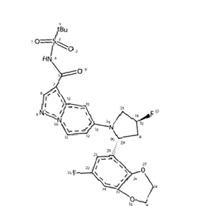 CC(C)(C)S(=O)(=O)NC(=O)c1cnn2ccc(N3C[C@@H](F)C[C@@H]3c3cc(F)cc4c3OCCO4)cc12